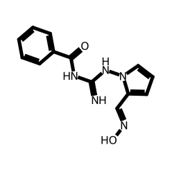 N=C(NC(=O)c1ccccc1)Nn1cccc1C=NO